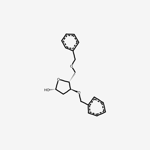 O[C@H]1C[C@H](OCc2ccccc2)[C@@H](COCc2ccccc2)O1